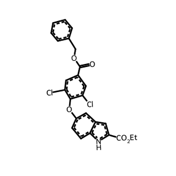 CCOC(=O)c1cc2cc(Oc3c(Cl)cc(C(=O)OCc4ccccc4)cc3Cl)ccc2[nH]1